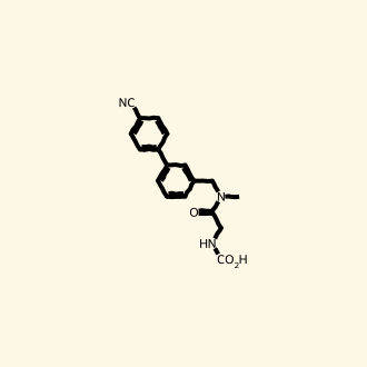 CN(Cc1cccc(-c2ccc(C#N)cc2)c1)C(=O)CNC(=O)O